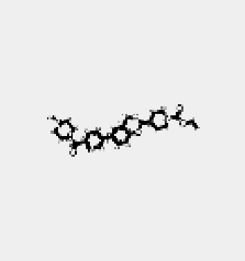 CCOC(=O)N1CCC(C2OCc3cc(-c4ccc(C(=O)N5CCN(C)CC5)nc4)ccc3O2)CC1